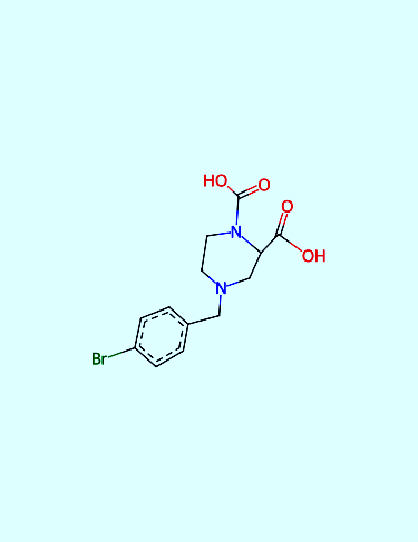 O=C(O)C1CN(Cc2ccc(Br)cc2)CCN1C(=O)O